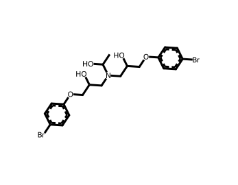 CC(O)N(CC(O)COc1ccc(Br)cc1)CC(O)COc1ccc(Br)cc1